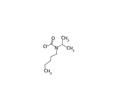 CCCCCN(C(=O)Cl)C(C)C